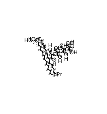 CC(C)CCCCCCCCCCCCCCC(=O)O.CC(C)CCCCCCCCCCCCCCC(=O)O.OCC(O)CO.OCC(O)CO.OCC(O)CO.OCC(O)CO